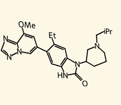 CCc1cc2c(cc1-c1cc(OC)c3ncnn3c1)[nH]c(=O)n2C1CCCN(CC(C)C)C1